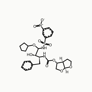 O=C(N[C@@H](Cc1ccccc1)[C@@H](O)C(NS(=O)(=O)c1cccc([N+](=O)[O-])c1)OC1CCCC1)O[C@@H]1CO[C@@H]2OCC[C@@H]21